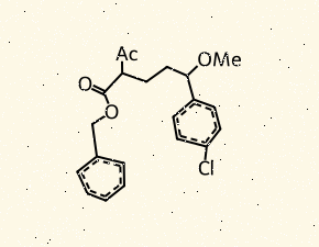 COC(CCC(C(C)=O)C(=O)OCc1ccccc1)c1ccc(Cl)cc1